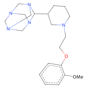 COc1ccccc1OCCN1CCCC(C2N3CN4CN(C3)CN2C4)C1